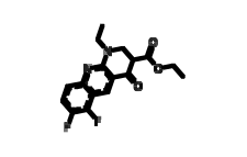 CCOC(=O)C1CN(CC)c2nc3ccc(F)c(F)c3cc2C1=O